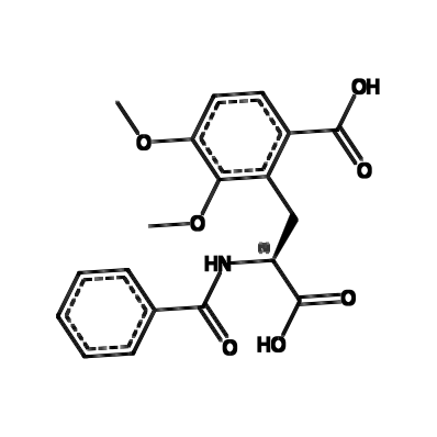 COc1ccc(C(=O)O)c(C[C@H](NC(=O)c2ccccc2)C(=O)O)c1OC